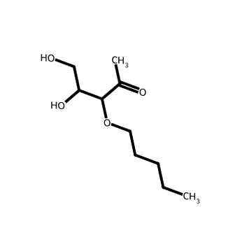 CCCCCOC(C(C)=O)C(O)CO